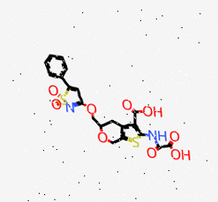 O=C(O)C(=O)Nc1sc2c(c1C(=O)O)CC(COC1=NS(=O)(=O)C(c3ccccc3)=C1)OC2